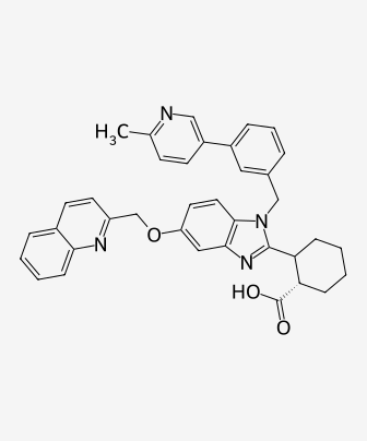 Cc1ccc(-c2cccc(Cn3c(C4CCCC[C@@H]4C(=O)O)nc4cc(OCc5ccc6ccccc6n5)ccc43)c2)cn1